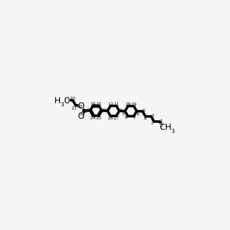 CCCCCCC1CCC(C2CCC(c3ccc(C(=O)OCCC)cc3)CC2)CC1